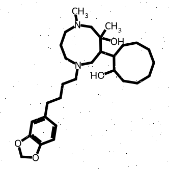 CN1CCCN(CCCCc2ccc3c(c2)OCO3)CC(C2CCCCCCCC2O)C(C)(O)C1